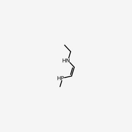 CCN/C=C\PC